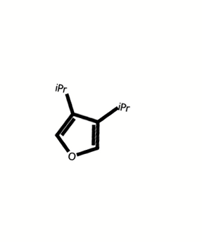 CC(C)c1cocc1C(C)C